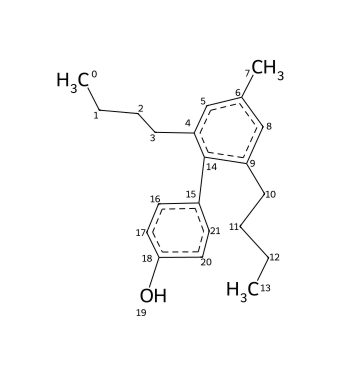 CCCCc1cc(C)cc(CCCC)c1-c1ccc(O)cc1